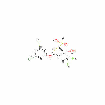 CS(=O)(=O)c1sc(Oc2cc(F)cc(Cl)c2)c2c1C(O)C(F)(F)C2